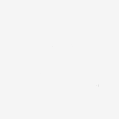 C=C(C(=O)OC(OCCCC(F)(F)C(F)(F)S(=O)(=O)O)(C(=O)N(CC)C(C)C)C(F)(F)F)C(F)(F)F